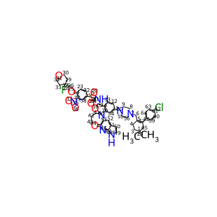 CC1(C)CCC(CN2CCN(c3ccc(C(=O)NS(=O)(=O)c4ccc(OCC5(F)CCOCC5)c([N+](=O)[O-])c4)c(N4CCCOc5nc6[nH]ccc6cc54)c3)CC2)=C(c2ccc(Cl)cc2)C1